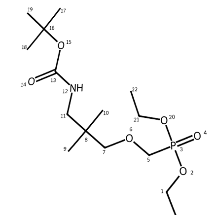 CCOP(=O)(COCC(C)(C)CNC(=O)OC(C)(C)C)OCC